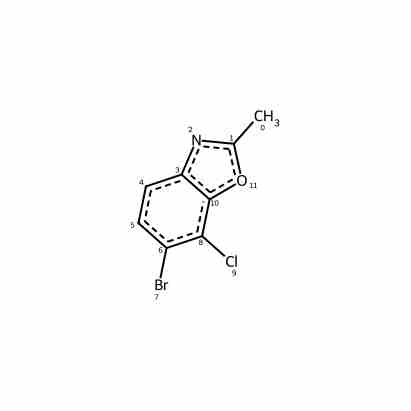 Cc1nc2ccc(Br)c(Cl)c2o1